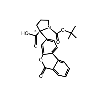 CC(C)(C)OC(=O)N1CCC[C@@]1(C(=O)O)c1ccc2c(c1)oc(=O)c1ccccc12